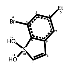 CCc1cc(Br)c2c(c1)C=CS2(O)O